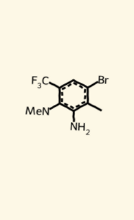 CNc1c(C(F)(F)F)cc(Br)c(C)c1N